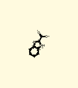 [O]C(=O)c1nc2ccccc2[nH]1